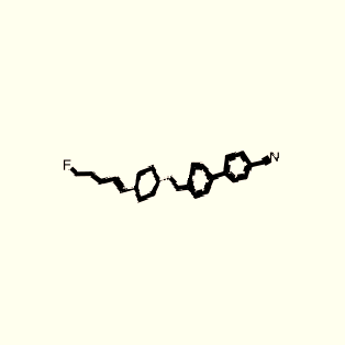 N#Cc1ccc(-c2ccc(CC[C@H]3CC[C@H](/C=C/CCCF)CC3)cc2)cc1